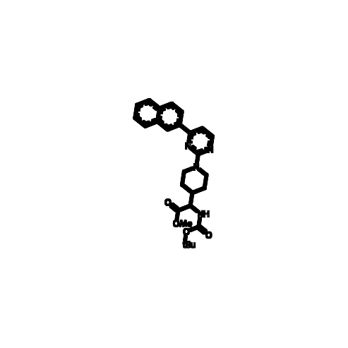 COC(=O)C(NC(=O)OC(C)(C)C)C1CCN(c2nccc(-c3ccc4ccccc4c3)n2)CC1